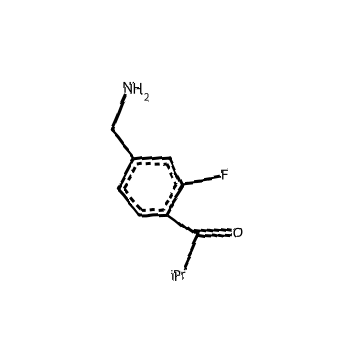 CC(C)C(=O)c1ccc(CN)cc1F